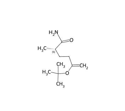 C=C(CC[C@H](C)C(N)=O)OC(C)(C)C